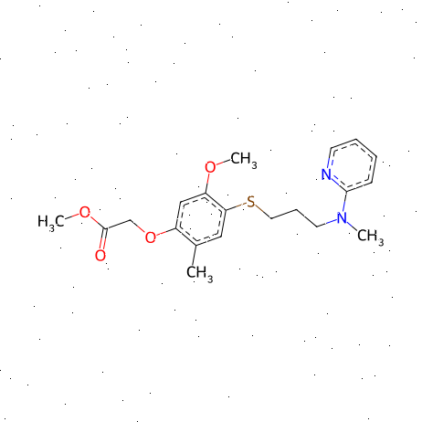 COC(=O)COc1cc(OC)c(SCCCN(C)c2ccccn2)cc1C